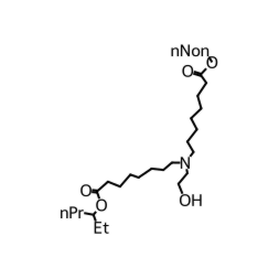 CCCCCCCCCOC(=O)CCCCCCCN(CCO)CCCCCCCC(=O)OC(CC)CCC